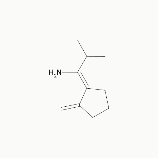 C=C1CCC/C1=C(/N)C(C)C